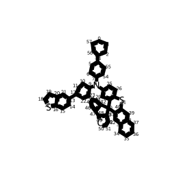 c1ccc(-c2ccc(N(c3ccc(-c4ccc5sccc5c4)cc3)c3ccc4c(c3)C3(c5cc6ccccc6cc5S4)c4ccccc4-c4ccccc43)cc2)cc1